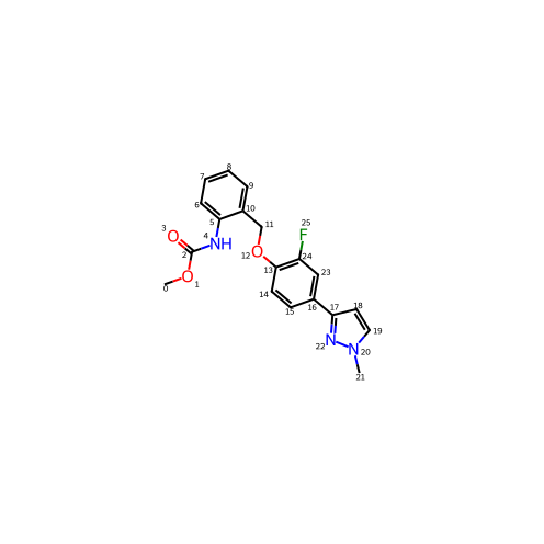 COC(=O)Nc1ccccc1COc1ccc(-c2ccn(C)n2)cc1F